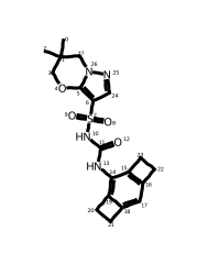 CC1(C)COc2c(S(=O)(=O)NC(=O)Nc3c4c(cc5c3CC5)CC4)cnn2C1